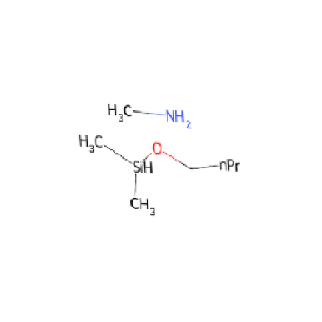 CCCCO[SiH](C)C.CN